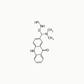 CCCNOC(c1ccc2[nH]c3ccccc3c(=O)c2c1)N(C)C